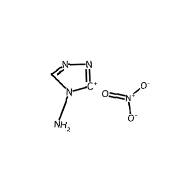 NN1[C+]=NN=C1.O=[N+]([O-])[O-]